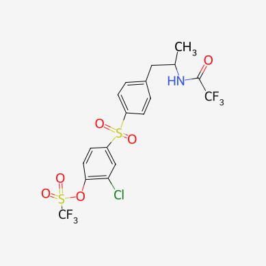 CC(Cc1ccc(S(=O)(=O)c2ccc(OS(=O)(=O)C(F)(F)F)c(Cl)c2)cc1)NC(=O)C(F)(F)F